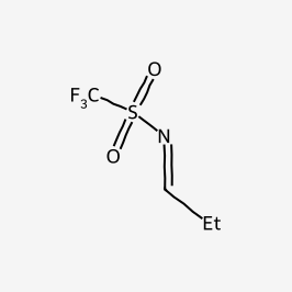 CCC=NS(=O)(=O)C(F)(F)F